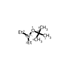 CC[N+](CC)OC(C)(C)C